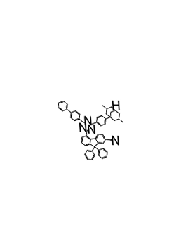 C[C@@H]1C[C@@H]2C[C@H](C)CC(c3ccc(-c4nc(-c5ccc(-c6ccccc6)cc5)nc(-c5cccc6c5-c5ccc(C#N)cc5C6(c5ccccc5)c5ccccc5)n4)cc3)(C1)C2